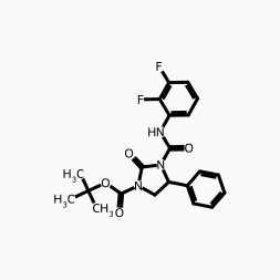 CC(C)(C)OC(=O)N1CC(c2ccccc2)N(C(=O)Nc2cccc(F)c2F)C1=O